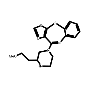 COCCC1CN(C2=Nc3ccccc3Sc3scnc32)CCN1